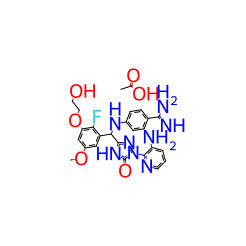 CC(=O)O.COc1cc(OCCO)c(F)c(C(Nc2ccc(C(=N)N)cc2)c2nn(-c3ncccc3N)c(=O)[nH]2)c1